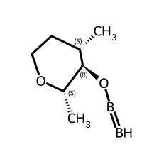 B=BO[C@H]1[C@H](C)OCC[C@@H]1C